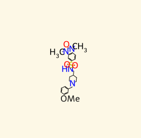 COc1cccc(CN2CCC(CNS(=O)(=O)c3ccc4c(c3)n(C)c(=O)n4C)CC2)c1